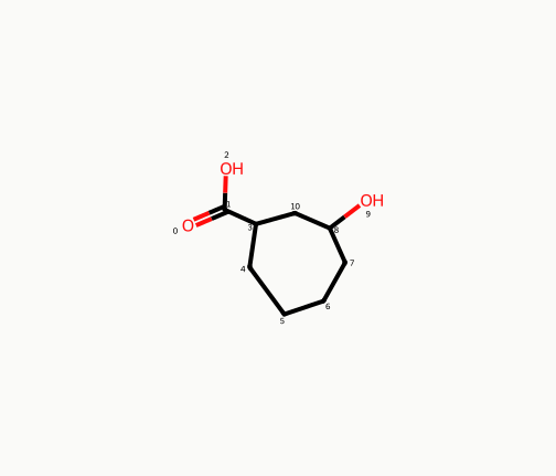 O=C(O)C1CCCCC(O)C1